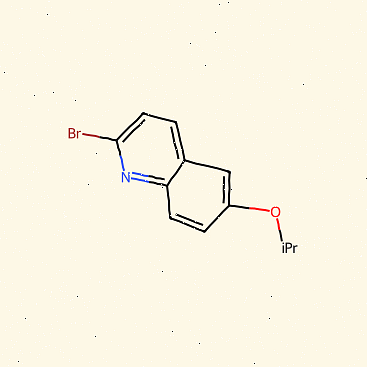 CC(C)Oc1ccc2nc(Br)ccc2c1